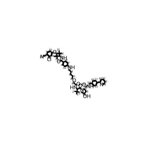 CC(C)(C)[C@H](NC(=O)COCCCCCNc1ccc(C(=O)N[C@H]2C(C)(C)[C@H](Oc3ccc(C#N)c(Cl)c3)C2(C)C)cc1)C(=O)N1C[C@H](O)C[C@H]1C(=O)NCc1ccc(-c2ccccn2)cc1